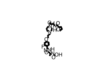 CC(NC(=O)O)c1nc(-c2ccc(OCCCN3CCCN(C(=O)[C@@H](C)NC(=O)c4ccco4)CC3)cc2F)no1